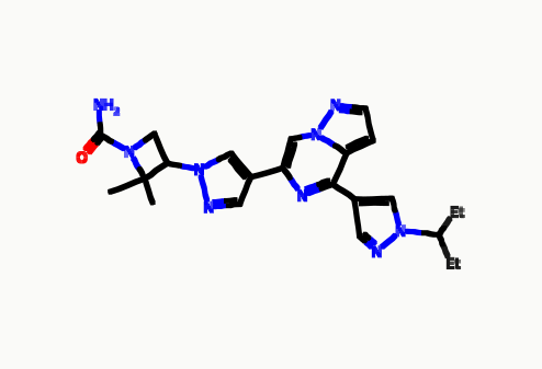 CCC(CC)n1cc(-c2nc(-c3cnn(C4CN(C(N)=O)C4(C)C)c3)cn3nccc23)cn1